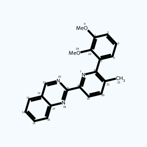 COc1cccc(-c2nc(-c3ncc4ccccc4n3)ccc2C)c1OC